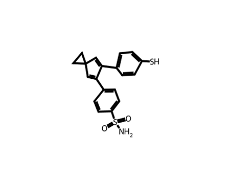 NS(=O)(=O)c1ccc(C2=CC3(C=C2c2ccc(S)cc2)CC3)cc1